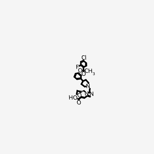 C[C@]1(c2ccc(Cl)cc2F)Oc2cccc(C3CCN(Cc4ncc(C=CC(=O)O)n4C[C@@H]4CCO4)CC3)c2O1